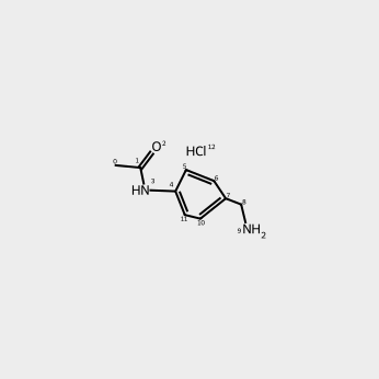 CC(=O)Nc1ccc(CN)cc1.Cl